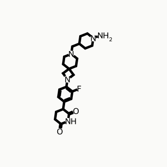 NN1CCC(CN2CCC3(CC2)CN(c2ccc(C4CCC(=O)NC4=O)cc2F)C3)CC1